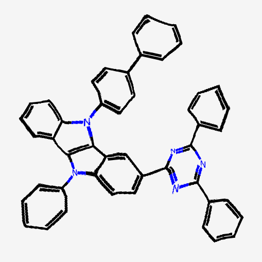 c1ccc(-c2ccc(-n3c4ccccc4c4c3c3cc(-c5nc(-c6ccccc6)nc(-c6ccccc6)n5)ccc3n4-c3ccccc3)cc2)cc1